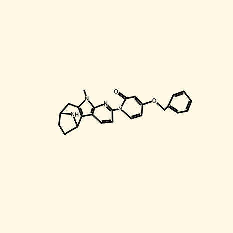 Cn1c2c(c3ccc(-n4ccc(OCc5ccccc5)cc4=O)nc31)C1CCC(C2)N1